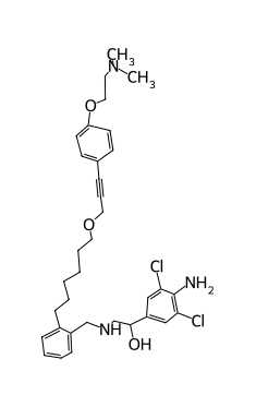 CN(C)CCOc1ccc(C#CCOCCCCCCc2ccccc2CNCC(O)c2cc(Cl)c(N)c(Cl)c2)cc1